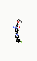 COCCCC(=O)NC1CCC(CCN2CCC(c3cccc(C(F)(F)F)c3)CC2)CC1